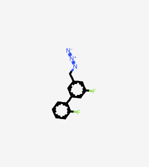 [N-]=[N+]=NCc1cc(F)cc(-c2ccccc2F)c1